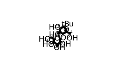 CC(C)(C)[C@@H]1OC(CO)[C@@H](O[C@@H]2OC(CO)[C@H](O)C(O)C2O)C(O)C1O